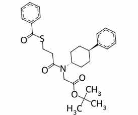 CC(C)(C)OC(=O)CN(C(=O)CCSC(=O)c1ccccc1)[C@H]1CC[C@H](c2ccccc2)CC1